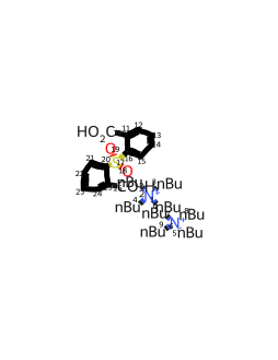 CCCC[N+](CCCC)(CCCC)CCCC.CCCC[N+](CCCC)(CCCC)CCCC.O=C(O)c1ccccc1S(=O)(=O)c1ccccc1C(=O)O